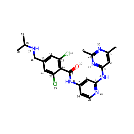 Cc1cc(Nc2cc(NC(=O)c3c(Cl)cc(CNC(C)C)cc3Cl)ccn2)nc(C)n1